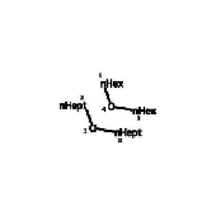 CCCCCCCOCCCCCCC.CCCCCCOCCCCCC